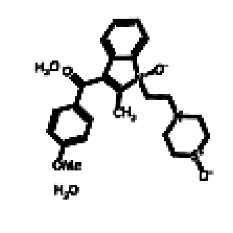 COc1ccc(C(=O)C2=C(C)[N+]([O-])(CCN3CC[S+]([O-])CC3)c3ccccc32)cc1.O.O